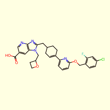 O=C(O)c1cnc2nc(CC3CC=C(c4cccc(OCc5ccc(Cl)cc5F)n4)CC3)n(CC3CCO3)c2c1